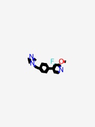 COc1nccc(-c2ccc(Cn3ccnc3)cc2)c1F